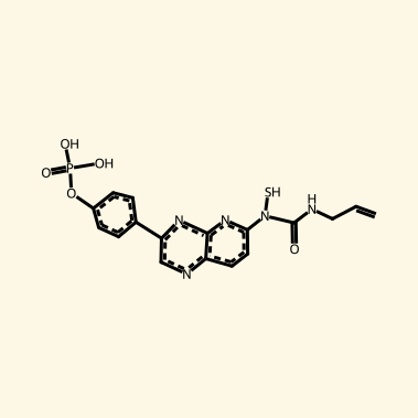 C=CCNC(=O)N(S)c1ccc2ncc(-c3ccc(OP(=O)(O)O)cc3)nc2n1